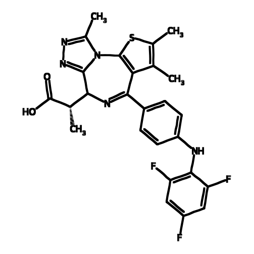 Cc1sc2c(c1C)C(c1ccc(Nc3c(F)cc(F)cc3F)cc1)=NC([C@H](C)C(=O)O)c1nnc(C)n1-2